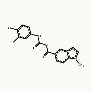 Cn1ccc2cc(C(=O)NC(=O)Nc3ccc(Cl)c(Cl)c3)ccc21